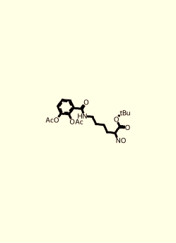 CC(=O)Oc1cccc(C(=O)NCCCCC(N=O)C(=O)OC(C)(C)C)c1OC(C)=O